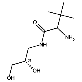 CC(C)(C)C(N)C(=O)NC[C@H](O)CO